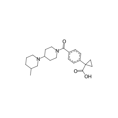 CC1CCCN(C2CCN(C(=O)c3ccc(C4(C(=O)O)CC4)cc3)CC2)C1